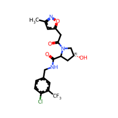 Cc1cc(CC(=O)N2C[C@H](O)CC2C(=O)NCc2ccc(Cl)c(C(F)(F)F)c2)on1